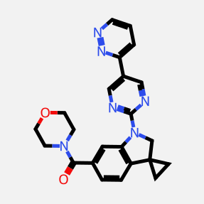 O=C(c1ccc2c(c1)N(c1ncc(-c3cccnn3)cn1)CC21CC1)N1CCOCC1